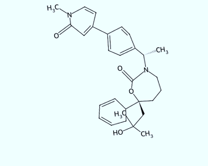 C[C@@H](c1ccc(-c2ccn(C)c(=O)c2)cc1)N1CCC[C@](CC(C)(C)O)(C2C=CC=CC2)OC1=O